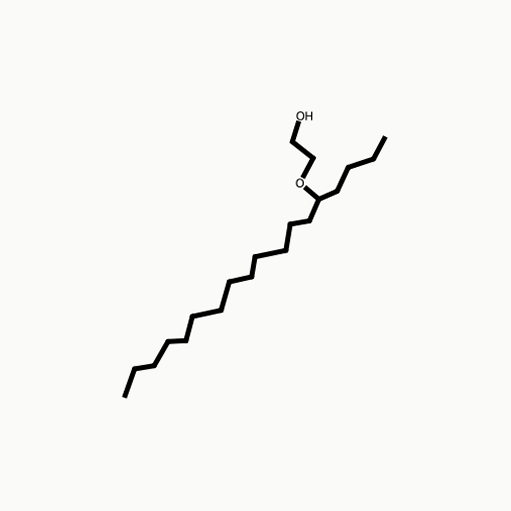 CCCCCCCCCCCCCC(CCCC)OCCO